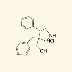 Cl.OCC1(Cc2ccccc2)CNCC1c1ccccc1